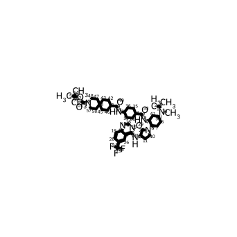 CC(C)N(C)[C@@H]1CC[C@H](N2CC[C@H](Nc3ncnc4ccc(C(F)(F)F)cc34)C2=O)[C@H](NC(=O)C2CCC(NC(=O)C3CCC4(CC3)CCN(C(=O)OC(C)(C)C)CC4)CC2)C1